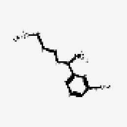 CC(C)(C)c1cccc(C(CCCCC=O)[N+](=O)[O-])c1